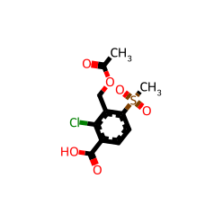 CC(=O)OCc1c(S(C)(=O)=O)ccc(C(=O)O)c1Cl